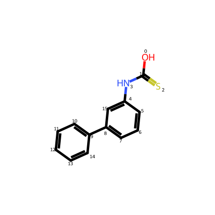 OC(=S)Nc1cccc(-c2ccccc2)c1